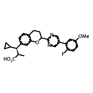 COc1ccc(F)c(-c2cnc(C3CCc4ccc([C@H](C5CC5)C(C)C(=O)O)cc4O3)nc2)c1